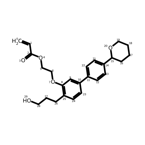 C=CC(=O)OCCOc1cc(-c2ccc(C3CCCCO3)cc2)ccc1CCCO